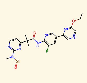 CCOc1cncc(-c2cnc(NC(=O)C(C)(C)c3ccnc(N(C)[SH]=O)n3)c(F)c2)n1